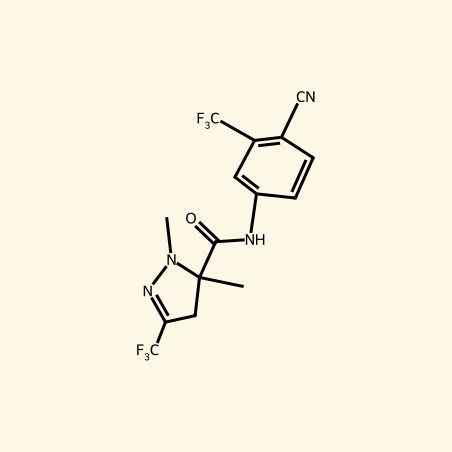 CN1N=C(C(F)(F)F)CC1(C)C(=O)Nc1ccc(C#N)c(C(F)(F)F)c1